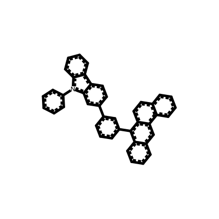 c1ccc(-n2c3ccccc3c3ccc(-c4cccc(-c5c6ccccc6cc6c5ccc5ccccc56)c4)cc32)cc1